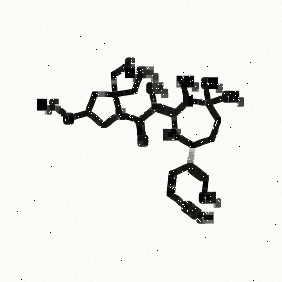 C#C/C=C\C(=C/C)[C@H]1CCC(C)(C)N(N)/C(=C(\C)C(=O)N2CC(OC)CC2(CC)CC)N1